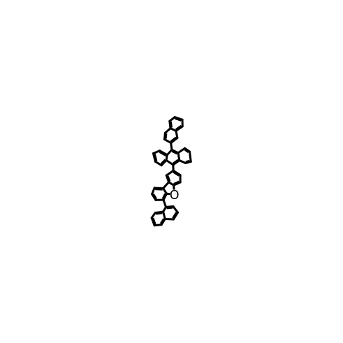 c1ccc2cc(-c3c4ccccc4c(-c4ccc5oc6c(-c7cccc8ccccc78)cccc6c5c4)c4ccccc34)ccc2c1